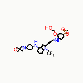 CS(=O)(=O)c1ccc(NCC#Cc2cc3c(N[C@H]4CC[C@H](N5CC6(COC6)C5)CC4)cccc3n2CC(F)(F)F)c(OCCO)c1